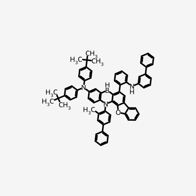 Cc1cc(-c2ccccc2)ccc1N1c2ccc(N(c3ccc(C(C)(C)C)cc3)c3ccc(C(C)(C)C)cc3)cc2Bc2c(-c3ccccc3Nc3cccc(-c4ccccc4)c3)cc3c(oc4ccccc43)c21